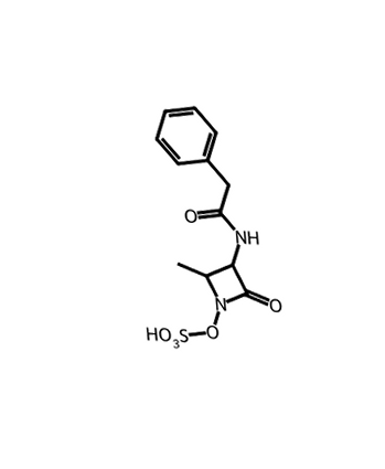 CC1C(NC(=O)Cc2ccccc2)C(=O)N1OS(=O)(=O)O